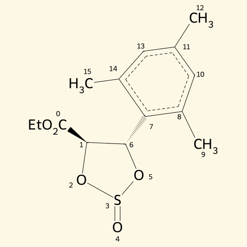 CCOC(=O)[C@@H]1OS(=O)O[C@H]1c1c(C)cc(C)cc1C